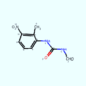 Cc1c(NC(=O)NC=O)cccc1[N+](=O)[O-]